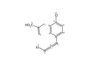 C=C(C)C(=O)O.CCN=C=Nc1ccc(Cl)cc1